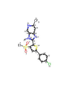 CCS(=O)(=O)c1cc(-c2ccc(Cl)cc2)sc1-c1nc2cc(C(F)(F)F)ncc2n1C